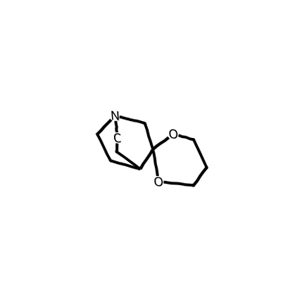 C1COC2(CN3CCC2CC3)OC1